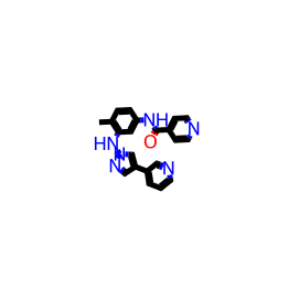 Cc1ccc(NC(=O)c2ccncc2)cc1Nn1cc(-c2cccnc2)cn1